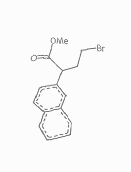 COC(=O)C(CCBr)c1ccc2ccccc2c1